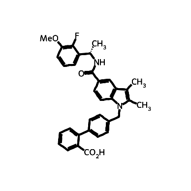 COc1cccc([C@H](C)NC(=O)c2ccc3c(c2)c(C)c(C)n3Cc2ccc(-c3ccccc3C(=O)O)cc2)c1F